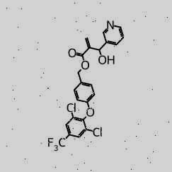 C=C(C(=O)OCc1ccc(Oc2c(Cl)cc(C(F)(F)F)cc2Cl)cc1)C(O)c1cccnc1